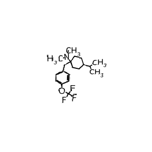 CC(C)C1CCC(Cc2ccc(OC(F)(F)F)cc2)(N(C)C)CC1